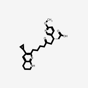 COc1ccc([C@H](CC(=O)O)CC(=O)CCCCc2nc3c(cc2C2CC2)CCCN3)cn1